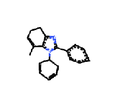 CC1=CCCc2nc(-c3ccccc3)n(C3C=CC=CC3)c21